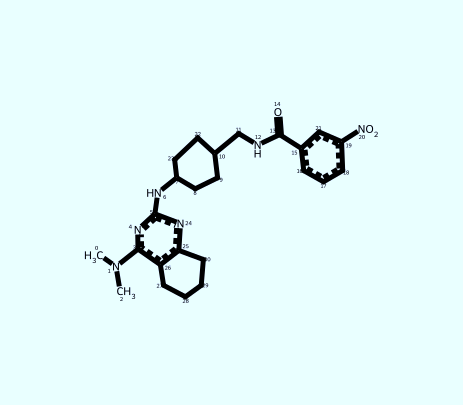 CN(C)c1nc(NC2CCC(CNC(=O)c3cccc([N+](=O)[O-])c3)CC2)nc2c1CCCC2